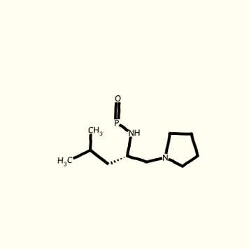 CC(C)C[C@@H](CN1CCCC1)NP=O